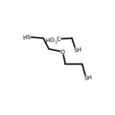 O=C(O)CS.SCCOCCS